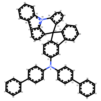 c1ccc(-c2ccc(N(c3ccc(-c4ccccc4)cc3)c3ccc4c(c3)-c3ccccc3C43c4ccccc4-n4c5ccccc5c5cccc3c54)cc2)cc1